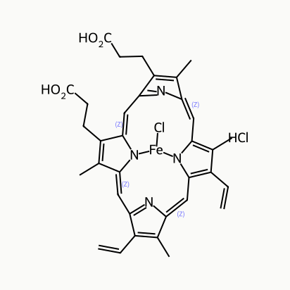 C=CC1=C(C)/C2=C/c3c(C=C)c(C)c4[n]3[Fe]([Cl])[n]3/c(c(C)c(CCC(=O)O)/c3=C/C3=NC(=C\4)/C(C)=C3CCC(=O)O)=C\C1=N2.Cl